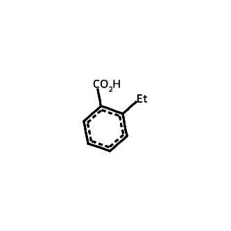 [CH2]Cc1ccccc1C(=O)O